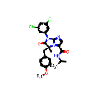 CC(NC(=O)c1cnc2n1C(C)(Cc1ccc(OC(F)(F)F)cc1)C(=O)N2c1cc(Cl)cc(Cl)c1)C(=O)O